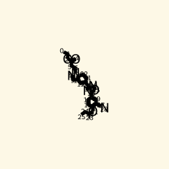 CCOC(=O)CCn1ncc2cc(-c3noc(-c4ccc(O[C@@H](C)CC)c(C#N)c4)n3)ccc21